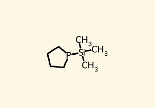 C[Si](C)(C)P1CCCC1